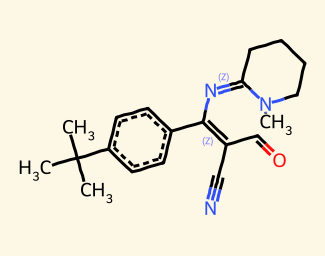 CN1CCCC/C1=N/C(=C(/C#N)C=O)c1ccc(C(C)(C)C)cc1